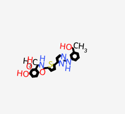 CC(O)c1cccc(Nc2nccc(-c3ccc(C(=O)NC(C)c4cccc(O)c4O)s3)n2)c1